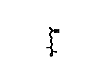 CC(=O)C(C)CCCCC(C)O